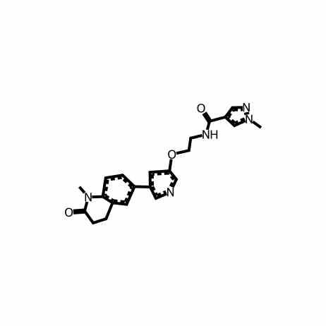 CN1C(=O)CCc2cc(-c3cncc(OCCNC(=O)c4cnn(C)c4)c3)ccc21